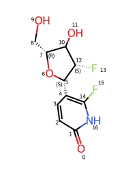 O=c1ccc([C@@H]2O[C@H](CO)C(O)[C@@H]2F)c(F)[nH]1